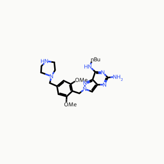 CCCCNc1nc(N)nc2cn(Cc3c(OC)cc(CN4CCNCC4)cc3OC)nc12